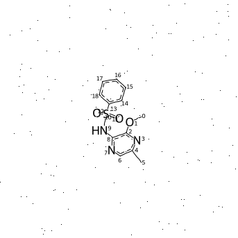 COc1nc(C)cnc1NS(=O)(=O)c1ccccc1